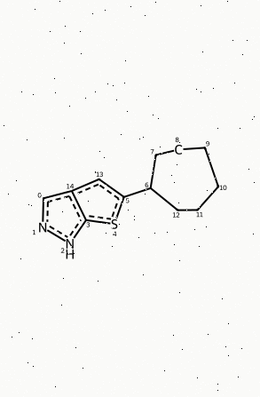 c1n[nH]c2sc(C3CCCCCC3)cc12